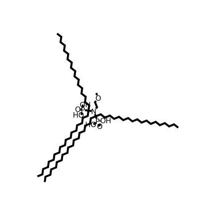 CCCCCCCCCCCCCCCCCCC(CCCCCCCCCCCCCCCCCC)(N(CCOC)C(CCCCCCCCCCCCCCCCCC)(CCCCCCCCCCCCCCCCCC)P(=O)(O)O)P(=O)(O)O